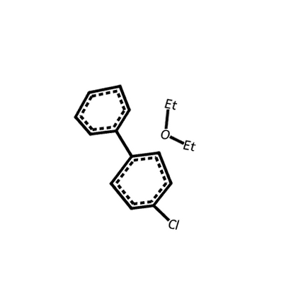 CCOCC.Clc1ccc(-c2ccccc2)cc1